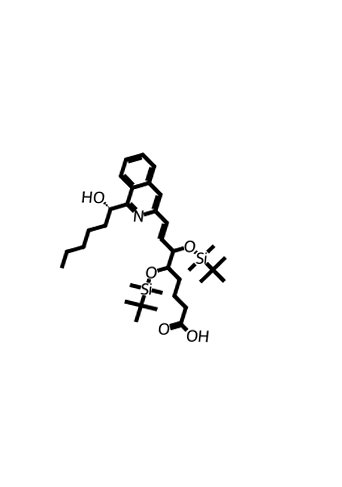 CCCCC[C@H](O)c1nc(C=CC(O[Si](C)(C)C(C)(C)C)C(CCCC(=O)O)O[Si](C)(C)C(C)(C)C)cc2ccccc12